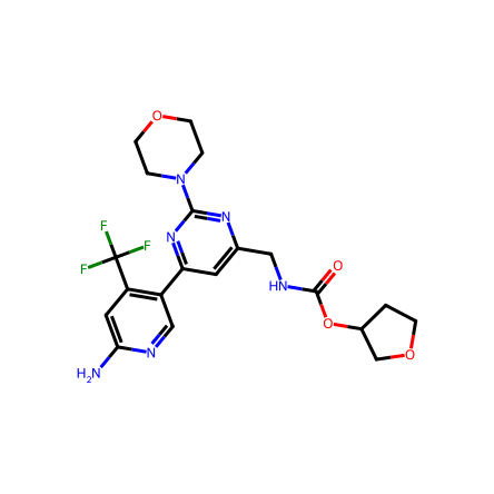 Nc1cc(C(F)(F)F)c(-c2cc(CNC(=O)OC3CCOC3)nc(N3CCOCC3)n2)cn1